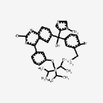 CCc1cc(C(O)(c2ccc3nc(Cl)nc(-c4cccc(O[Si](C(C)C)(C(C)C)C(C)C)c4)c3c2)c2cncn2C)ccc1Br